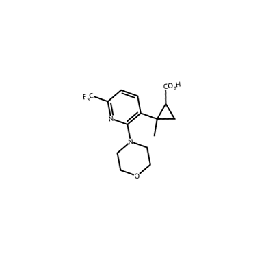 CC1(c2ccc(C(F)(F)F)nc2N2CCOCC2)CC1C(=O)O